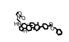 CC1C(C2=CCC(C(=O)OCc3ccccc3)CC2)=CCC2(C)C1CCC1(C)C2CCC2[C@H]3CCCC3(NCCN3CCOC3=O)CC[C@]21C